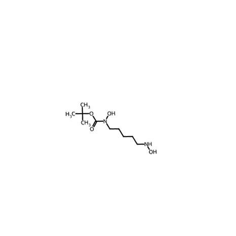 CC(C)(C)OC(=O)N(O)CCCCCNO